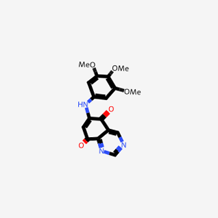 COc1cc(NC2=CC(=O)c3ncncc3C2=O)cc(OC)c1OC